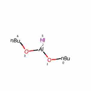 CCCC[O][Al][O]CCCC.I